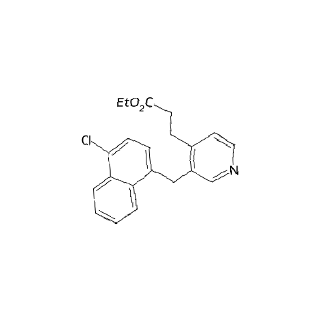 CCOC(=O)CCc1ccncc1Cc1ccc(Cl)c2ccccc12